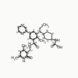 CCN(c1cc(-c2cnccn2)cc(C(=O)NCc2c(C)cc(C)[nH]c2=O)c1C)C1CCC(NC(=O)O)CC1